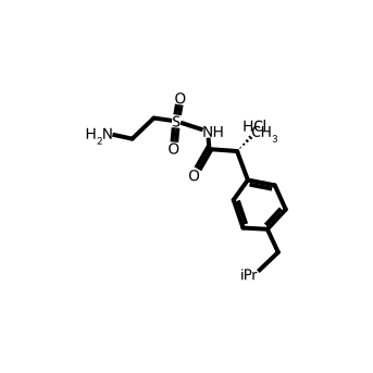 CC(C)Cc1ccc([C@@H](C)C(=O)NS(=O)(=O)CCN)cc1.Cl